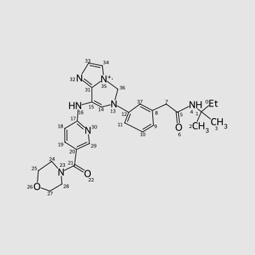 CCC(C)(C)NC(=O)Cc1cccc(N2C=C(Nc3ccc(C(=O)N4CCOCC4)cn3)C3=NC=C[N+]3C2)c1